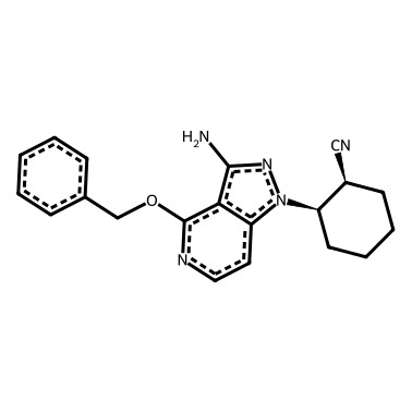 N#C[C@H]1CCCC[C@H]1n1nc(N)c2c(OCc3ccccc3)nccc21